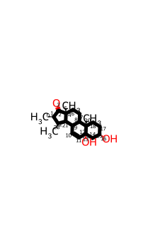 C[C@@H]1C(=O)[C@@]2(C)CCC3C(C=C[C@]4(O)C[C@@H](O)CC[C@]34C)C2[C@@H]1C